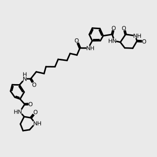 O=C1CCC(NC(=O)c2cccc(NC(=O)CCCCCCCCC(=O)Nc3cccc(C(=O)NC4CCCNC4=O)c3)c2)C(=O)N1